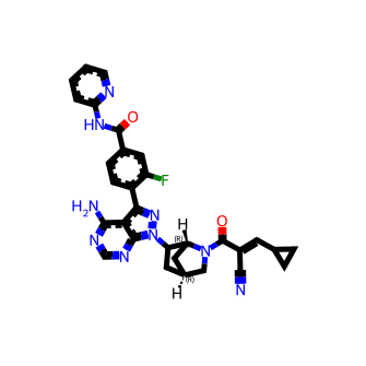 N#CC(=CC1CC1)C(=O)N1C[C@H]2CC(n3nc(-c4ccc(C(=O)Nc5ccccn5)cc4F)c4c(N)ncnc43)[C@H]1C2